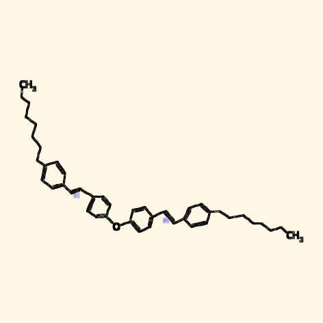 CCCCCCCCc1ccc(/C=C/c2ccc(Oc3ccc(/C=C/c4ccc(CCCCCCCC)cc4)cc3)cc2)cc1